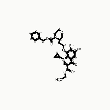 CCOC(=O)c1cn(C2CC2)c2c(OCCC3COCCN3C(=O)OCc3ccccc3)c(F)c(F)cc2c1=O